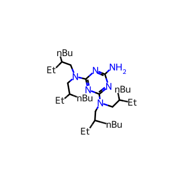 CCCCC(CC)CN(CC(CC)CCCC)c1nc(N)nc(N(CC(CC)CCCC)CC(CC)CCCC)n1